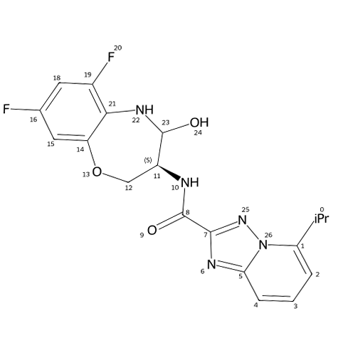 CC(C)c1cccc2nc(C(=O)N[C@H]3COc4cc(F)cc(F)c4NC3O)nn12